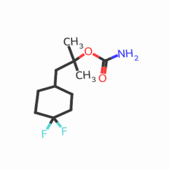 CC(C)(CC1CCC(F)(F)CC1)OC(N)=O